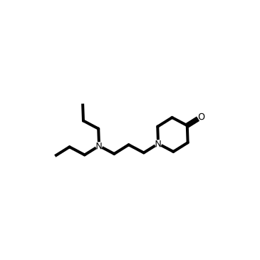 CCCN(CCC)CCCN1CCC(=O)CC1